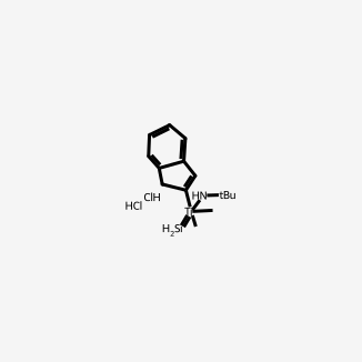 CC(C)(C)[NH][Ti]([CH3])([CH3])(=[SiH2])[C]1=Cc2ccccc2C1.Cl.Cl